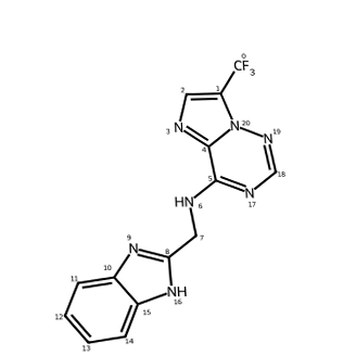 FC(F)(F)c1cnc2c(NCc3nc4ccccc4[nH]3)ncnn12